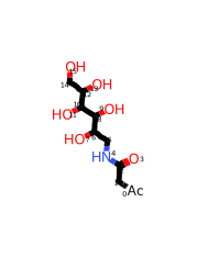 CC(=O)CC(=O)NCC(O)C(O)C(O)C(O)CO